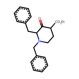 CCOC(=O)C1CCN(Cc2ccccc2)C(Cc2ccccc2)C1=O